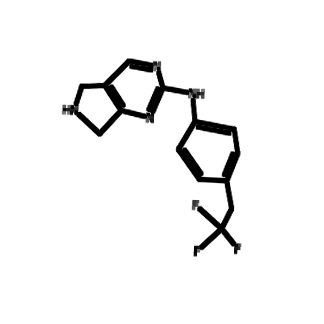 FC(F)(F)Cc1ccc(Nc2ncc3c(n2)CNC3)cc1